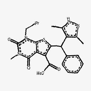 COC(=O)c1c(C(c2ccccc2)c2c(C)n[nH]c2C)sc2c1c(=O)n(C)c(=O)n2CC(C)C